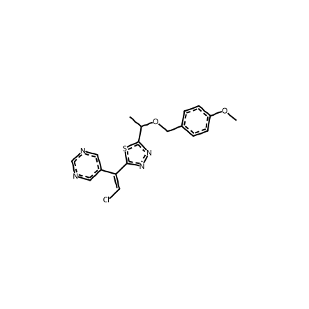 COc1ccc(COC(C)c2nnc(C(=CCl)c3cncnc3)s2)cc1